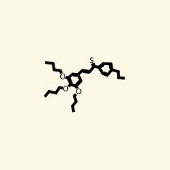 CCCCOc1cc(C=CC(=S)c2ccc(CCC)cc2)cc(OCCCC)c1OCCCC